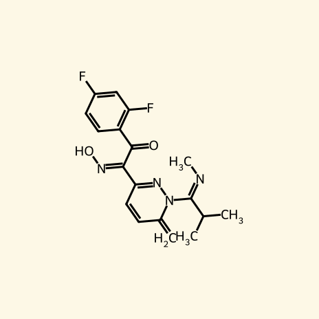 C=C1C=CC(/C(=N/O)C(=O)c2ccc(F)cc2F)=NN1/C(=N\C)C(C)C